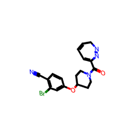 N#Cc1ccc(OC2CCN(C(=O)C3=CC=CCN=N3)CC2)cc1Br